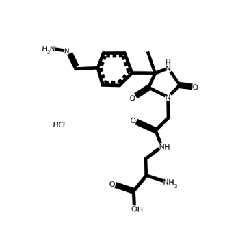 CC1(c2ccc(C=NN)cc2)NC(=O)N(CC(=O)NCC(N)C(=O)O)C1=O.Cl